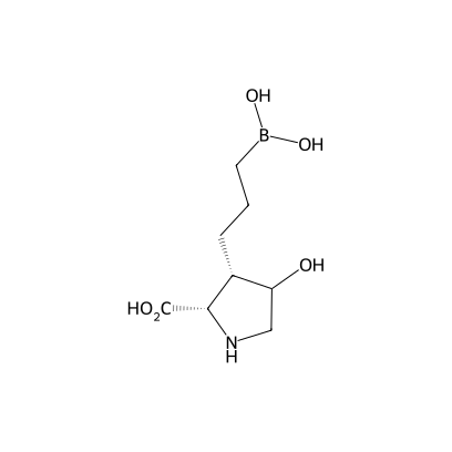 O=C(O)[C@H]1NCC(O)[C@H]1CCCB(O)O